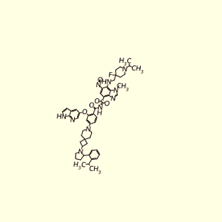 CC(C)c1ccccc1C1CCCN1C1CC2(CCN(c3ccc(C(=O)NS(=O)(=O)c4cc(N=O)c(NCC5(F)CCN(C(C)C)CC5)c5c4ncn5C)c(Oc4cnc5[nH]ccc5c4)c3)CC2)C1